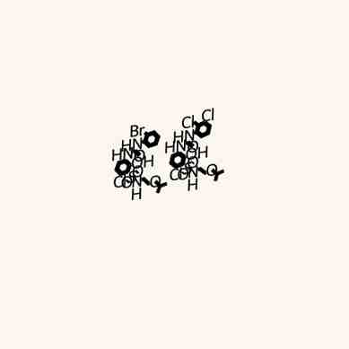 CC(C)OCCNS(=O)(=O)c1c(Cl)ccc(NC(=O)Nc2cccc(Cl)c2Cl)c1O.CC(C)OCCNS(=O)(=O)c1c(Cl)ccc(NC(=O)Nc2ccccc2Br)c1O